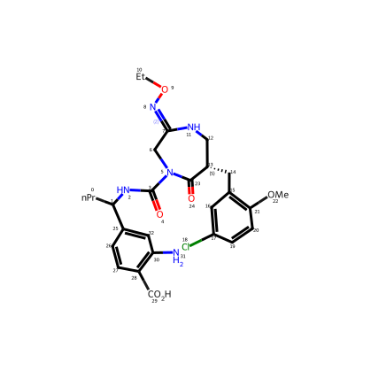 CCCC(NC(=O)N1C/C(=N/OCC)NC[C@H](Cc2cc(Cl)ccc2OC)C1=O)c1ccc(C(=O)O)c(N)c1